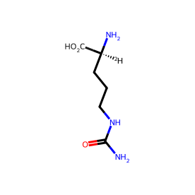 [2H][C@](N)(CCCNC(N)=O)C(=O)O